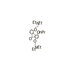 CCCOc1ccc(OCCN(CC)CC)c2c1-c1c(OCCN(CC)CC)cccc1C2=O